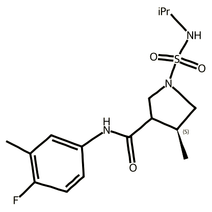 Cc1cc(NC(=O)C2CN(S(=O)(=O)NC(C)C)C[C@H]2C)ccc1F